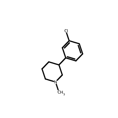 CN1CCCC(c2cccc(Cl)c2)C1